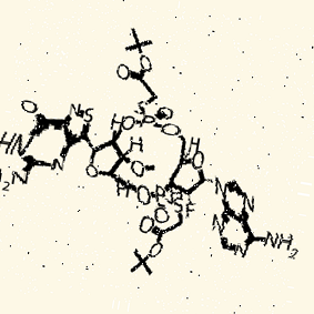 CO[C@H]1[C@H]2O[P@@](=O)(SCC(=O)OC(C)(C)C)OC[C@H]3O[C@H](n4cnc5c(N)ncnc54)[C@H](F)[C@@H]3[P@@](=O)(SCC(=O)OC(C)(C)C)OC[C@H]1O[C@H]2c1snc2c(=O)[nH]c(N)nc12